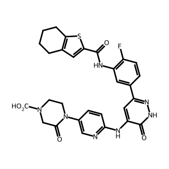 O=C(Nc1cc(-c2cc(Nc3ccc(N4CCN(C(=O)O)CC4=O)cn3)c(=O)[nH]n2)ccc1F)c1cc2c(s1)CCCC2